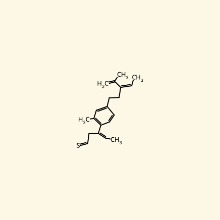 C=C(C)/C(=C\C)CCc1ccc(/C(=C\C)CC=S)c(C)c1